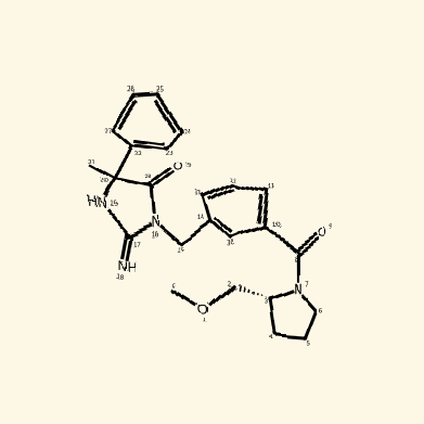 COC[C@H]1CCCN1C(=O)c1cccc(CN2C(=N)NC(C)(c3ccccc3)C2=O)c1